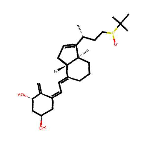 C=C1/C(=C\C=C2/CCC[C@]3(C)C([C@H](C)CC[S+]([O-])C(C)(C)C)=CC[C@@H]23)C[C@@H](O)C[C@@H]1O